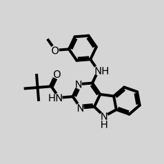 COc1cccc(Nc2nc(NC(=O)C(C)(C)C)nc3[nH]c4ccccc4c23)c1